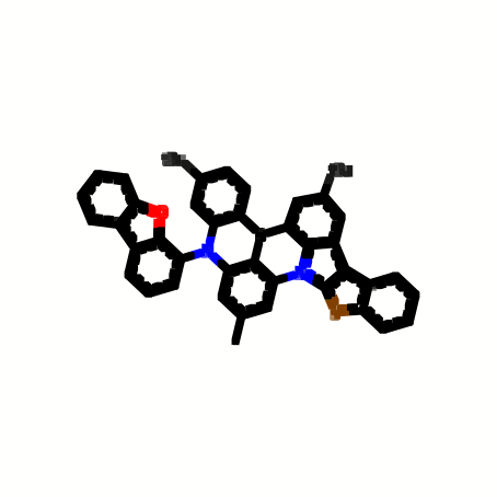 Cc1cc2c3c(c1)-n1c4sc5ccccc5c4c4cc(C(C)(C)C)cc(c41)B3c1ccc(C(C)(C)C)cc1N2c1cccc2c1oc1ccccc12